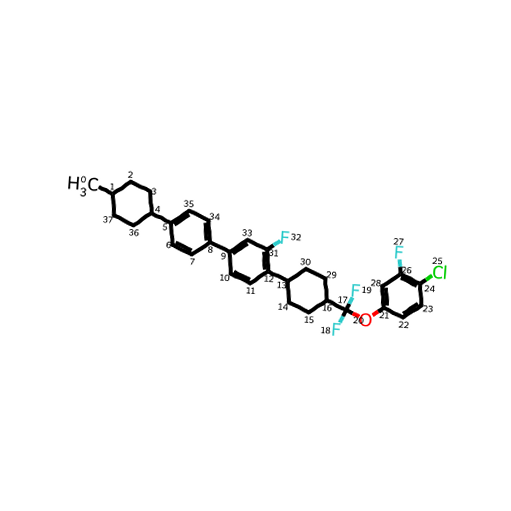 CC1CCC(c2ccc(-c3ccc(C4CCC(C(F)(F)Oc5ccc(Cl)c(F)c5)CC4)c(F)c3)cc2)CC1